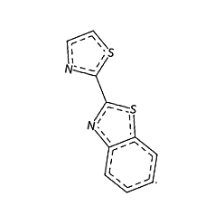 [c]1ccc2nc(-c3nccs3)sc2c1